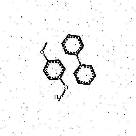 COc1ccc(OP)cc1.c1ccc(-c2ccccc2)cc1